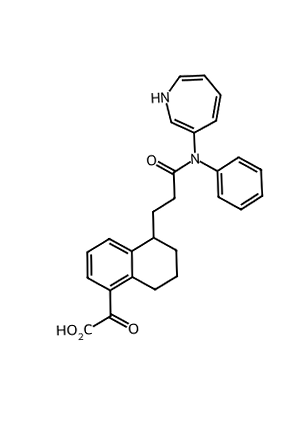 O=C(O)C(=O)c1cccc2c1CCCC2CCC(=O)N(C1=CNC=CC=C1)c1ccccc1